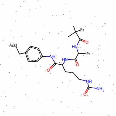 CCC(C)(C)C(=O)NC(C(=O)NC(CCCNC(N)=O)C(=O)Nc1ccc(COC(C)=O)cc1)C(C)C